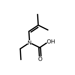 CCN(C=C(C)C)C(=O)O